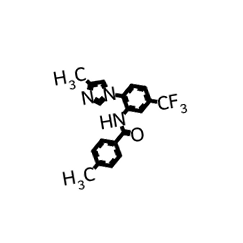 Cc1ccc(C(=O)Nc2cc(C(F)(F)F)ccc2-n2cnc(C)c2)cc1